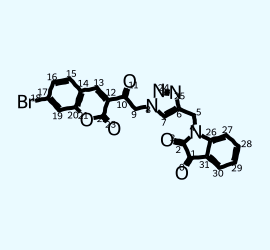 O=C1C(=O)N(Cc2cn(CC(=O)c3cc4ccc(Br)cc4oc3=O)nn2)c2ccccc21